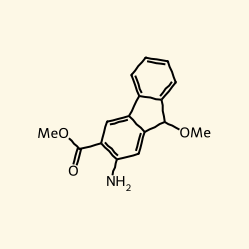 COC(=O)c1cc2c(cc1N)C(OC)c1ccccc1-2